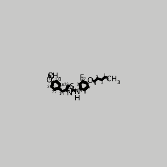 CCCCCOc1ccc(Nc2nc(Cc3ccc(OC)cc3)cs2)cc1F